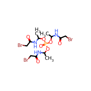 CC(NC(=O)CBr)OP(=O)(OC(C)NC(=O)CBr)OC(C)NC(=O)CBr